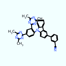 Cc1nc(C)nc(-c2ccc(-n3c4ccccc4c4cc(-c5cccc(C#N)c5)ccc43)c(-c3nc(C)nc(C)n3)c2)n1